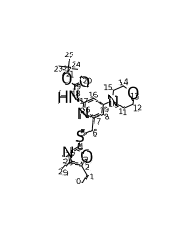 CCc1oc(SCc2cc(N3CCOCC3)cc(NC(=O)OC(C)(C)C)n2)nc1C